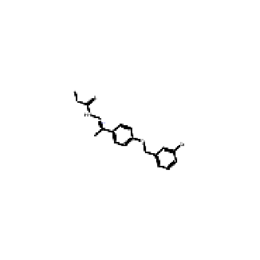 CSC(=S)N/N=C(\C)c1ccc(OCc2cccc(Br)c2)cc1